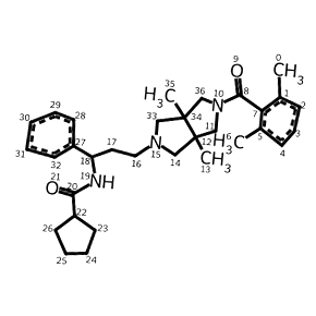 Cc1cccc(C)c1C(=O)N1CC2(C)CN(CCC(NC(=O)C3CCCC3)c3ccccc3)CC2(C)C1